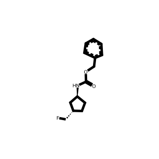 O=C(N[C@H]1CC[C@H](CF)C1)OCc1ccccc1